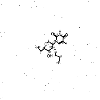 [2H]CC1OC[C@@H](n2cc(C)c(=O)[nH]c2=O)[C@H](OCCF)[C@@H]1O